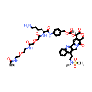 CCCCC(=O)NCCOCCNC(=O)COCC(=O)N[C@@H](CCCCN)C(=O)Nc1ccc(COC(=O)O[C@]2(CC)C(=O)OCc3c2cc2n(c3=O)Cc3c-2nc2ccccc2c3CCN(C(C)C)S(C)(=O)=O)cc1